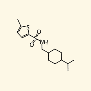 Cc1ccc(S(=O)(=O)NCC2CCC(C(C)C)CC2)s1